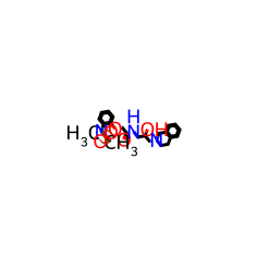 CN(c1ccccc1OCC(=O)NCC(O)CN1CCc2ccccc2C1)S(C)(=O)=O